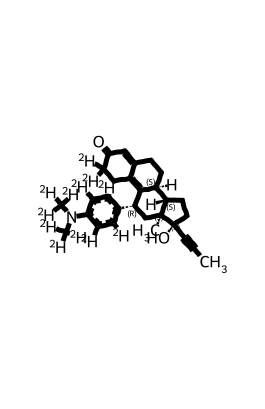 [2H]c1c([2H])c(N(C([2H])([2H])[2H])C([2H])([2H])[2H])c([2H])c([2H])c1[C@H]1C[C@@]2(C)[C@@H](CC[C@@]2(O)C#CC)[C@@H]2CCC3=CC(=O)C([2H])([2H])CC3=C21